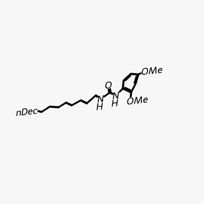 CCCCCCCCCCCCCCCCCCNC(=O)Nc1ccc(OC)cc1OC